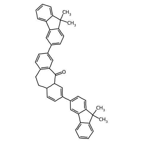 CC1(C)c2ccccc2-c2cc(C3=CC4C(=O)c5cc(-c6ccc7c(c6)-c6ccccc6C7(C)C)ccc5CCC4C=C3)ccc21